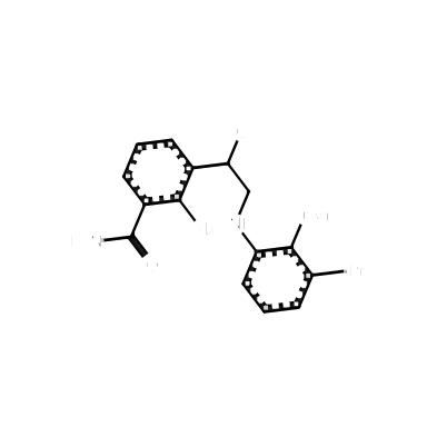 CC(C)c1cccc(NCC(C)c2cccc(C(N)=O)c2C(C)(C)C)c1C(C)(C)C